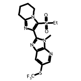 CCS(=O)(=O)c1c(-c2nc3cc(SC(F)(F)F)cnc3n2C)nc2n1CCCC2